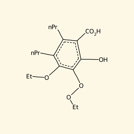 CCCc1c(CCC)c(C(=O)O)c(O)c(OOCC)c1OCC